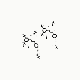 CCCOc1c(C(C)(C)C)cc(C(C)(C)C)c(OCOC(=O)C(C)(C)C)c1/C=C/C(=O)c1ccc(OCOC(=O)C(C)(C)C)cc1.CCCOc1c(C(C)(C)CC)cc(C(C)(C)CC)c(OCOC(=O)C(C)(C)C)c1/C=C/C(=O)c1ccc(OCOC(=O)C(C)(C)C)cc1